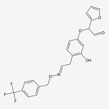 O=CC(Oc1ccc(CC=NOCc2ccc(C(F)(F)F)cc2)c(O)c1)c1ccco1